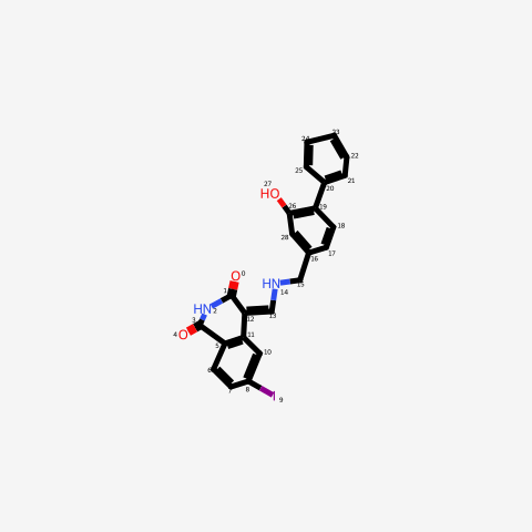 O=C1NC(=O)c2ccc(I)cc2C1=CNCc1ccc(-c2ccccc2)c(O)c1